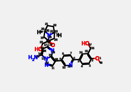 COc1ccc(-c2ccc(-c3cnn4c(N)cc([C@@H]5C[C@H]6CC[C@@H](C5)N6C(=O)CO)nc34)cn2)cc1CO